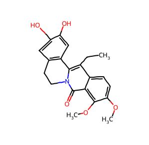 CCc1c2n(c(=O)c3c(OC)c(OC)ccc13)CCc1cc(O)c(O)cc1-2